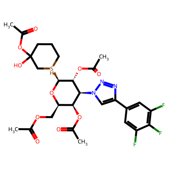 CC(=O)OC[C@H]1O[C@@H]([SH]2CCCC(O)(OC(C)=O)C2)[C@H](OC(C)=O)[C@@H](n2cc(-c3cc(F)c(F)c(F)c3)nn2)[C@H]1OC(C)=O